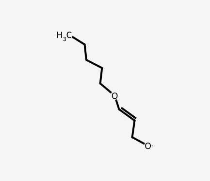 CCCCCOC=CC[O]